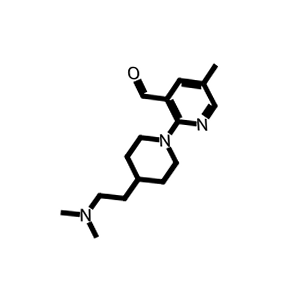 Cc1cnc(N2CCC(CCN(C)C)CC2)c(C=O)c1